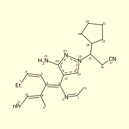 C\C=N/C(=C(/C=C\CC)C(\C)=C\CCC)c1cn(C(CC#N)C2CCCC2)nc1N